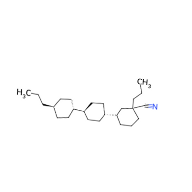 CCCC1(C#N)CCCC([C@H]2CC[C@H]([C@H]3CC[C@H](CCC)CC3)CC2)C1